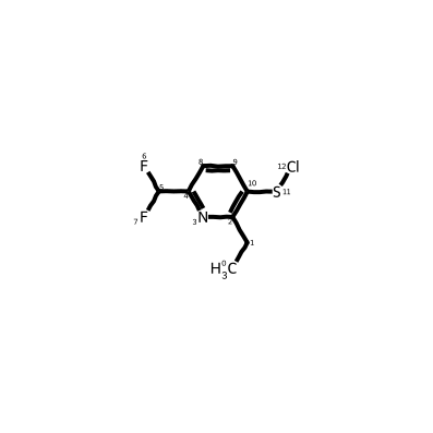 CCc1nc(C(F)F)ccc1SCl